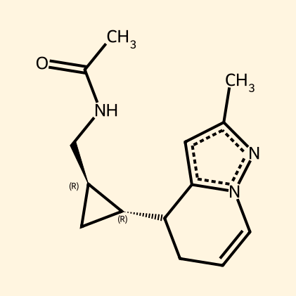 CC(=O)NC[C@@H]1C[C@H]1C1CC=Cn2nc(C)cc21